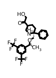 C[C@@H](OC[C@@]1(c2ccccc2)CCC(C(=O)CO)CN1)c1cc(C(F)(F)F)cc(C(F)(F)F)c1